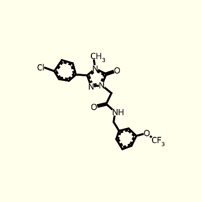 Cn1c(-c2ccc(Cl)cc2)nn(CC(=O)NCc2cccc(OC(F)(F)F)c2)c1=O